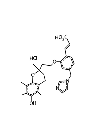 Cc1c(C)c2c(c(C)c1O)CCC(C)(CCOc1cc(Cn3ccnc3)ccc1C=CC(=O)O)O2.Cl